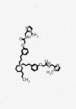 CCCC1CCC[N+](CCCc2cccc(OCC(=O)NCc3nccn3C)c2)(CCCc2cccc(OCC(=O)NCc3nccn3C)c2)C1